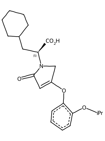 CC(C)Oc1ccccc1OC1=CC(=O)N([C@@H](CC2CCCCC2)C(=O)O)C1